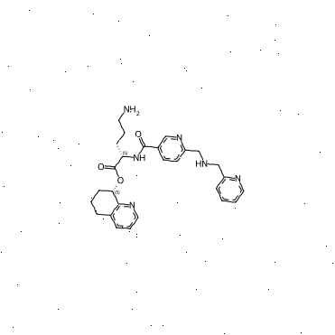 NCCC[C@H](NC(=O)c1ccc(CNCc2ccccn2)nc1)C(=O)O[C@H]1CCCc2cccnc21